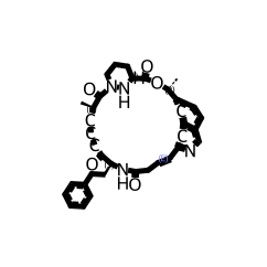 C[C@@H]1CCCC(=O)[C@H](CCc2ccccc2)NC(=O)C/C=C/c2cc3cc(ccc3cn2)[C@@H](C)OC(=O)[C@@H]2CCCN(N2)C1=O